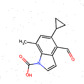 Cc1cc(C2CC2)c(C=O)c2ccn(C(=O)O)c12